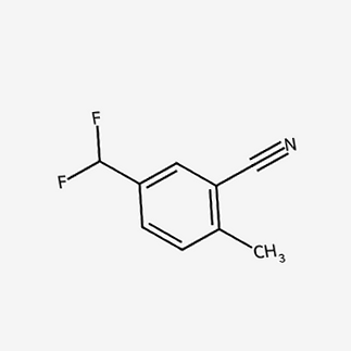 Cc1ccc(C(F)F)cc1C#N